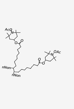 CCCCCCCCCC(CCCCCCCC(=O)OC1CC(C)(C)N(OC(C)=O)C(C)(C)C1)C(CCCCCCCCC)CCCCCCCC(=O)OC1CC(C)(C)N(OC(C)=O)C(C)(C)C1